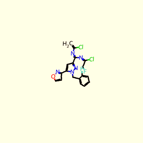 C=C(Cl)/N=C(\N=C(\Cl)CF)c1cc(-c2ccon2)n(Cc2ccccc2F)n1